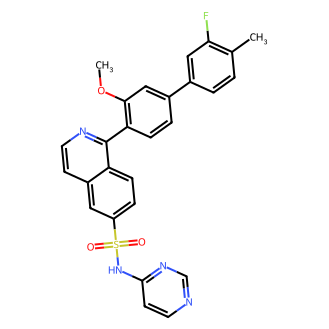 COc1cc(-c2ccc(C)c(F)c2)ccc1-c1nccc2cc(S(=O)(=O)Nc3ccncn3)ccc12